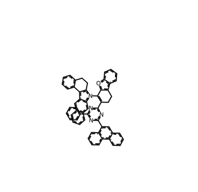 c1ccc(-c2nc(C3=C(n4c5c(c6cc7ccccc7cc64)-c4ccccc4CC5)c4oc5ccccc5c4CC3)nc(-c3cc4ccccc4c4ccccc34)n2)cc1